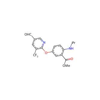 COC(=O)c1cc(Oc2ncc(C=O)cc2C(F)(F)F)ccc1NC(C)C